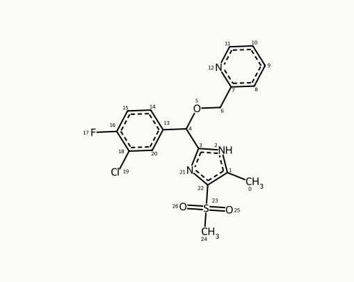 Cc1[nH]c(C(OCc2ccccn2)c2ccc(F)c(Cl)c2)nc1S(C)(=O)=O